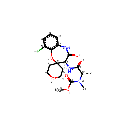 C[C@@H](C(=O)N[C@@H]1C(=O)Nc2cccc(F)c2OC12CCOCC2)N(C)C(=O)OC(C)(C)C